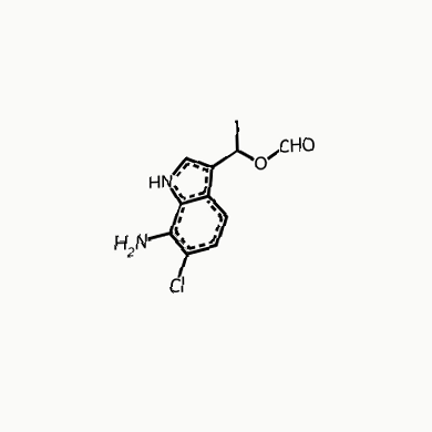 CC(OC=O)c1c[nH]c2c(N)c(Cl)ccc12